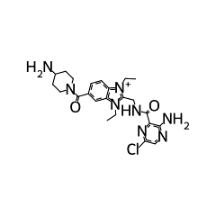 CCn1c(CNC(=O)c2nc(Cl)cnc2N)[n+](CC)c2ccc(C(=O)N3CCC(N)CC3)cc21